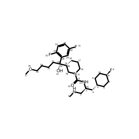 CNC[C@H](C[C@H]1CC[C@H](F)CC1)NC(=O)N1CCC[C@@H]([C@@](O)(CCCCOC)c2cc(F)ccc2F)C1